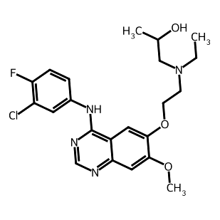 CCN(CCOc1cc2c(Nc3ccc(F)c(Cl)c3)ncnc2cc1OC)CC(C)O